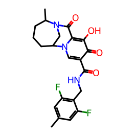 Cc1cc(F)c(CNC(=O)c2cn3c(c(O)c2=O)C(=O)N2CC3CCCC2C)c(F)c1